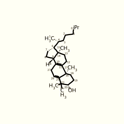 CC(C)CCC[C@@H](C)[C@H]1CC[C@H]2C3=C(CC[C@]12C)[C@@]1(C)CC[C@H](O)C(C)(C)C1=CC3